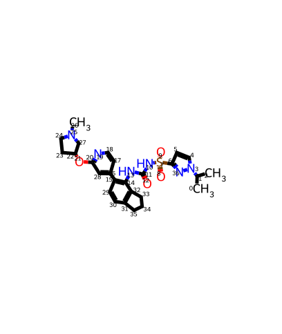 CC(C)n1ccc(S(=O)(=O)NC(=O)Nc2c(-c3ccnc(OC4CCN(C)C4)c3)ccc3c2CCC3)n1